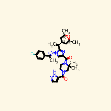 C=C(c1nc(C(=O)N2CCN(C(=O)c3ccn[nH]3)CC2(C)C)cn1/N=C(\C)c1ccc(F)cc1)[C@H]1C[C@@H](C)O[C@@H](C)C1